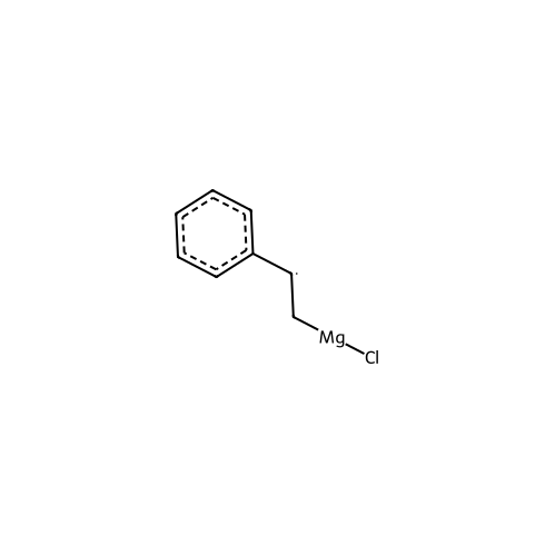 [Cl][Mg][CH2][CH]c1ccccc1